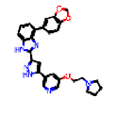 c1cc(-c2ccc3c(c2)OCO3)c2nc(-c3cc(-c4cncc(OCCN5CCCC5)c4)[nH]n3)[nH]c2c1